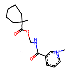 C[n+]1cccc(C(=O)NCOC(=O)C2(C)CCCCC2)c1.[I-]